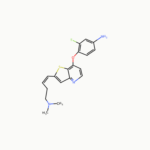 CN(C)CC/C=C\c1cc2nccc(Oc3ccc(N)cc3F)c2s1